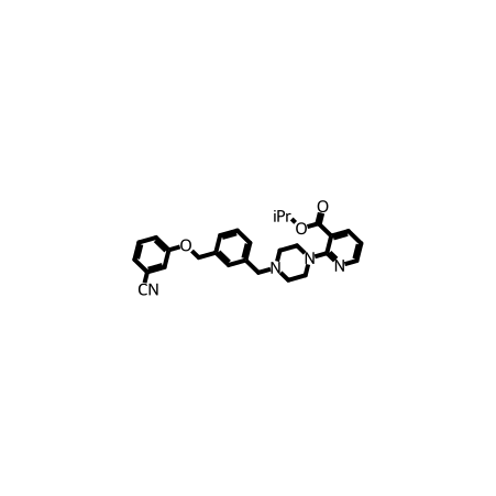 CC(C)OC(=O)c1cccnc1N1CCN(Cc2cccc(COc3cccc(C#N)c3)c2)CC1